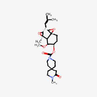 CO[C@H]1C([C@@]2(C)O[C@@H]2CC=C(C)C)[C@]2(CC[C@H]1OC(=O)N1CCC3(CCN(C)C(=O)C3)CC1)CO2